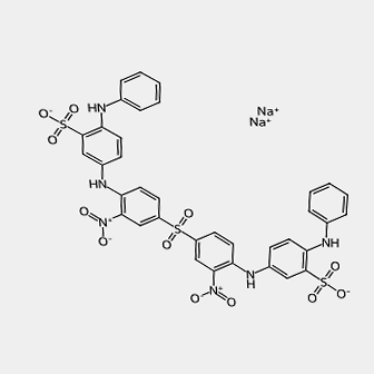 O=[N+]([O-])c1cc(S(=O)(=O)c2ccc(Nc3ccc(Nc4ccccc4)c(S(=O)(=O)[O-])c3)c([N+](=O)[O-])c2)ccc1Nc1ccc(Nc2ccccc2)c(S(=O)(=O)[O-])c1.[Na+].[Na+]